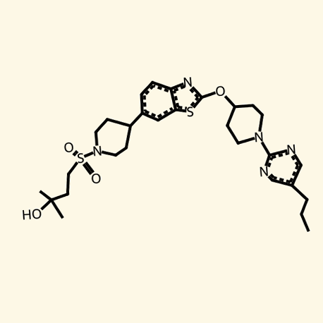 CCCc1cnc(N2CCC(Oc3nc4ccc(C5CCN(S(=O)(=O)CCC(C)(C)O)CC5)cc4s3)CC2)nc1